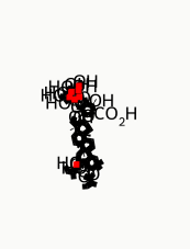 C/C=C(/C)C(=O)O[C@H]1[C@H](OC(=O)/C(C)=C\C)[C@@]2(CO)C(CC1(C)C)C1=CCC3[C@@]4(C)CC[C@H](O[C@@H]5OC(C(=O)O)[C@@H](O)C(O[C@@H]6O[C@@H](CO)C(O)C6O)C5O[C@@H]5OC(CO)[C@@H](O)C(O)C5O)[C@](C)(CO)C4CC[C@@]3(C)[C@]1(C)C[C@H]2O